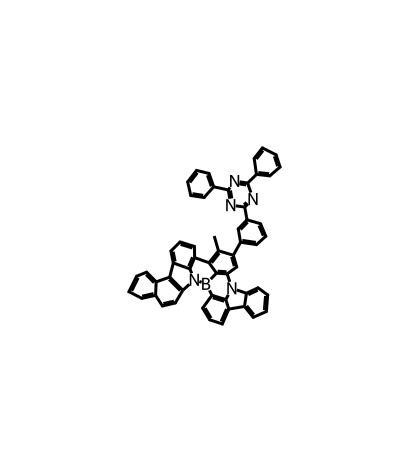 Cc1c(-c2cccc(-c3nc(-c4ccccc4)nc(-c4ccccc4)n3)c2)cc2c3c1-c1cccc4c5c6ccccc6ccc5n(c14)B3c1cccc3c4ccccc4n-2c13